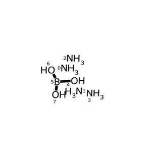 N.N.N.N.OB(O)O